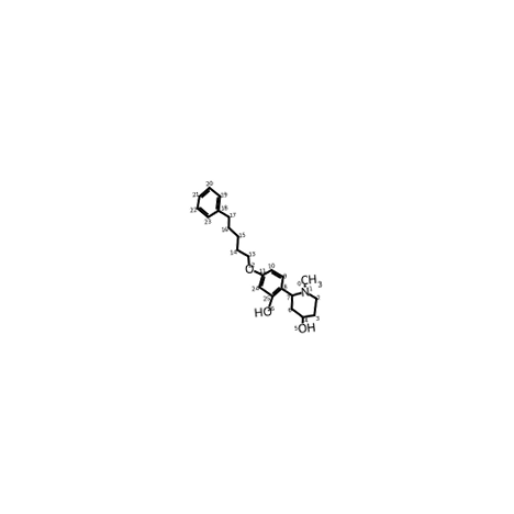 CN1CCC(O)CC1c1ccc(OCCCCCc2ccccc2)cc1O